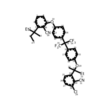 CCC(C)(CI)c1cccc(Oc2ccc(C(c3ccc(OC(C)(CC)c4cccc(Cl)c4C#N)cc3)(C(F)(F)F)C(F)(F)F)cc2)c1C#N